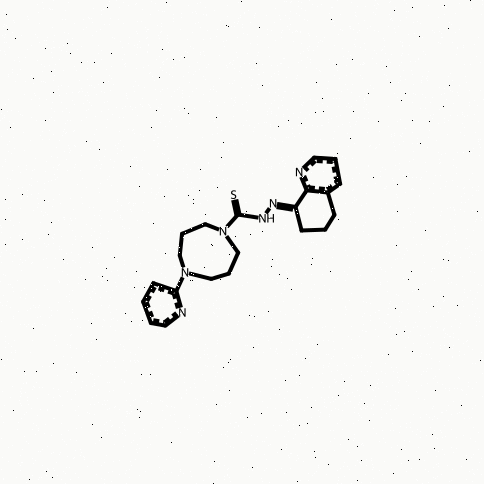 S=C(NN=C1CCCc2cccnc21)N1CCCN(c2ccccn2)CCC1